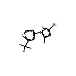 Cc1cc(Br)nn1-c1ccnc(C(F)(F)F)c1